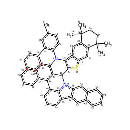 CC(C)(C)c1ccc(N2c3cc4ccccc4c4c3B(c3sc5cc6c(cc5c32)C(C)(C)CCC6(C)C)n2c3cc5ccccc5cc3c3cccc-4c32)c(-c2ccccc2)c1